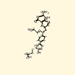 Nc1nc(=O)c2nc(CN(OCCO)c3ccc(C(=O)N[C@@H](CCC(=O)O)C(=O)O)cc3)cnc2[nH]1